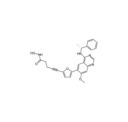 COc1cc2ncnc(N[C@H](C)c3ccccc3)c2cc1-c1ccc(C#CCCC(=O)NO)o1